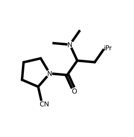 CC(C)CC(C(=O)N1CCCC1C#N)N(C)C